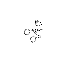 CSc1ncnn1C[C@]1(c2ccccc2)O[C@@H]1c1ccccc1Cl